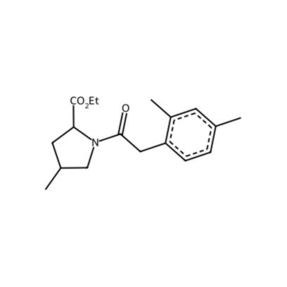 CCOC(=O)C1CC(C)CN1C(=O)Cc1ccc(C)cc1C